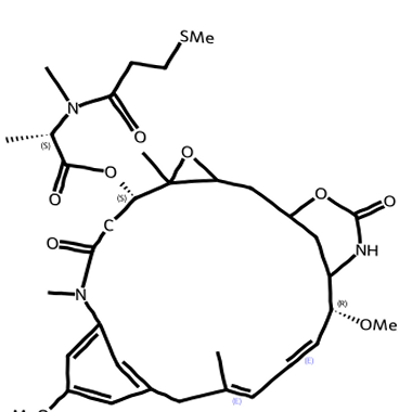 COc1cc2cc(c1)N(C)C(=O)C[C@H](OC(=O)[C@H](C)N(C)C(=O)CCSC)C1(C)OC1CC1CC(NC(=O)O1)[C@H](OC)/C=C/C=C(\C)C2